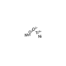 [Mn].[Ni].[O-2].[O-2].[Ti+4]